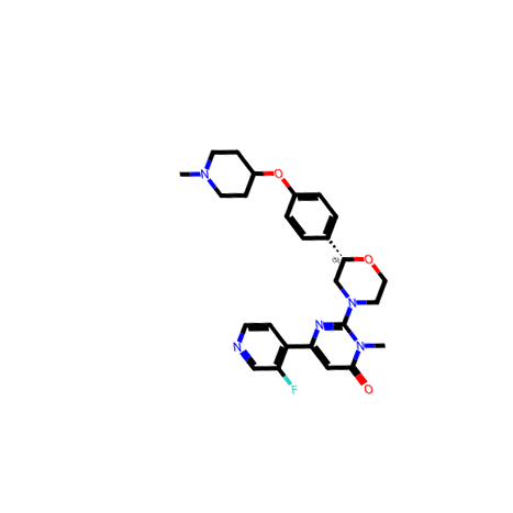 CN1CCC(Oc2ccc([C@H]3CN(c4nc(-c5ccncc5F)cc(=O)n4C)CCO3)cc2)CC1